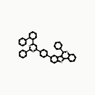 c1ccc(-c2nc(-c3ccc(-c4ccc5sc6c7ccccc7nc(-c7ccccc7)c6c5c4)cc3)cc(-c3ccccc3-c3ccccc3)n2)cc1